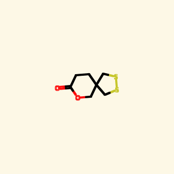 O=C1CCC2(CO1)CSSC2